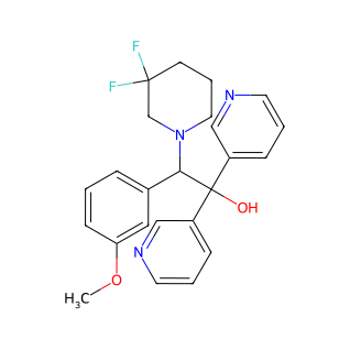 COc1cccc(C(N2CCCC(F)(F)C2)C(O)(c2cccnc2)c2cccnc2)c1